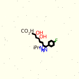 CC(C)n1nnc(-c2ccc(F)cc2)c1C=CC(O)CC(O)CC(=O)O